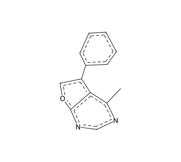 Cc1ncnc2occ(-c3ccccc3)c12